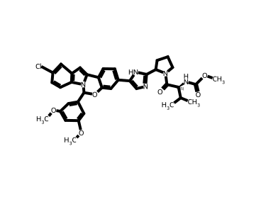 COC(=O)N[C@H](C(=O)N1CCCC1c1ncc(-c2ccc3c(c2)OC(c2cc(OC)cc(OC)c2)n2c-3cc3cc(Cl)ccc32)[nH]1)C(C)C